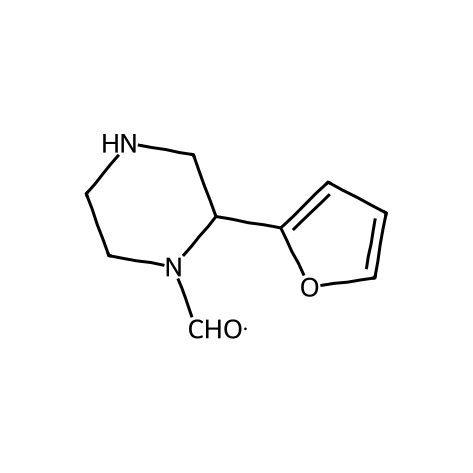 O=[C]N1CCNCC1c1ccco1